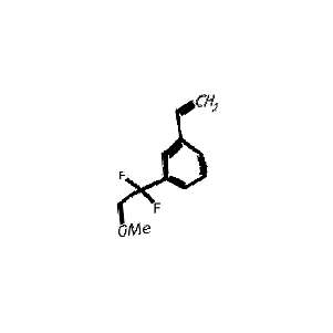 C=Cc1cccc(C(F)(F)COC)c1